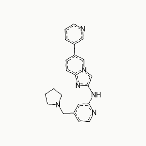 c1cncc(-c2ccc3nc(Nc4cc(CN5CCCC5)ccn4)cn3c2)c1